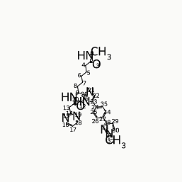 CNC(=O)CCCCCC(NC(=O)Cc1ncccn1)c1ncc(-c2ccc(-c3ccn(C)n3)cc2)[nH]1